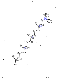 CCN(CC)C/C=C(\C)CC/C=C(\C)CC/C=C(\C)CCC=C(C)C